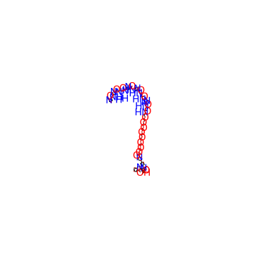 CC(=O)N1c2ccc(C3=CCN(C(=O)COCCOCCOCCOCCOCCOCCOCCOCCNC(=O)CCNC(=O)c4nc(NC(=O)CCNC(=O)c5cc(NC(=O)c6cc(NC(=O)CCNC(=O)c7cc(NC(=O)c8cccn8C)cn7C)cn6C)cn5C)cn4C)CC3)cc2N(Cc2ccccc2CO)C[C@@H]1C1CC1